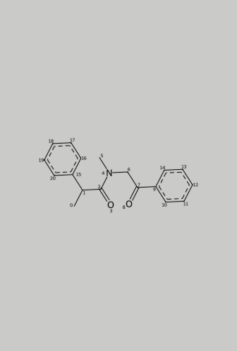 CC(C(=O)N(C)CC(=O)c1ccccc1)c1ccccc1